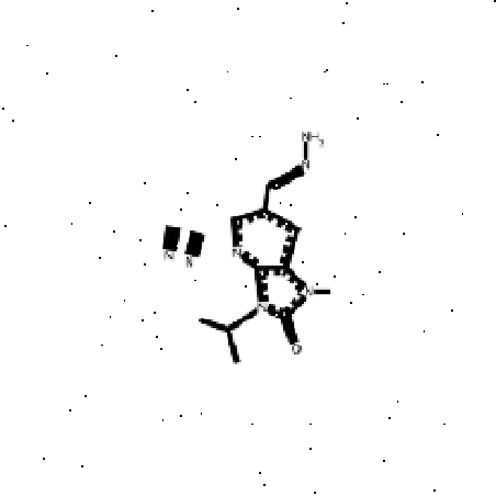 C#N.C#N.CC(C)n1c(=O)n(C)c2cc(C=NN)cnc21